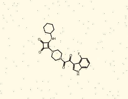 O=C(C(=O)N1CCN(c2c(NC3CCCCC3)c(=O)c2=O)CC1)c1c[nH]c2cccc(F)c12